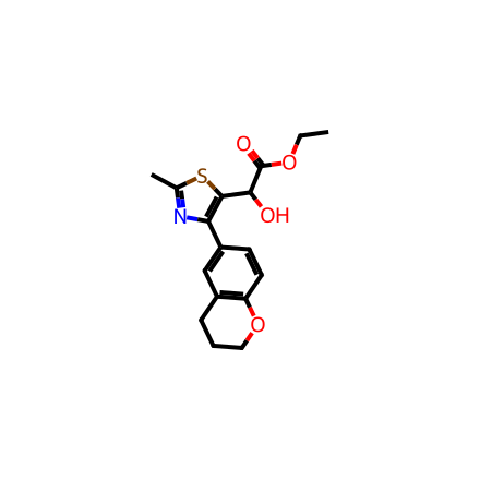 CCOC(=O)C(O)c1sc(C)nc1-c1ccc2c(c1)CCCO2